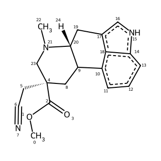 COC(=O)[C@]1(CC#N)CC2c3cccc4[nH]cc(c34)C[C@H]2N(C)C1